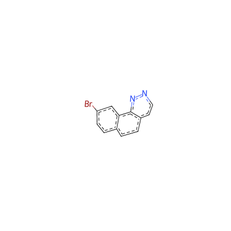 Brc1ccc2ccc3ccnnc3c2c1